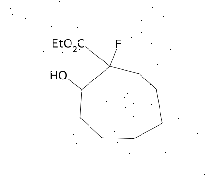 CCOC(=O)C1(F)CCCCCCC1O